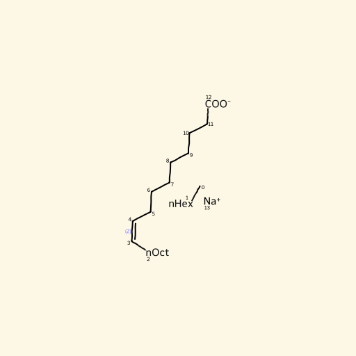 CCCCCCC.CCCCCCCC/C=C\CCCCCCCC(=O)[O-].[Na+]